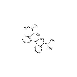 CC(C)C(O)c1ccccc1C(=O)c1ccccc1C(O)C(C)C